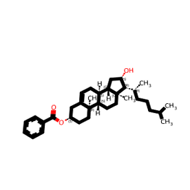 CC(C)CCC[C@@H](C)[C@H]1[C@@H](O)C[C@H]2[C@@H]3CC=C4C[C@@H](OC(=O)c5ccccc5)CC[C@]4(C)[C@H]3CC[C@]12C